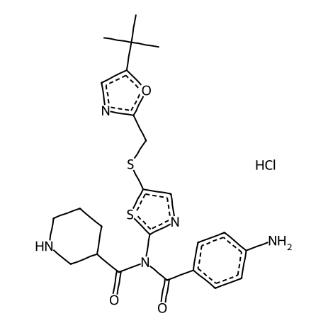 CC(C)(C)c1cnc(CSc2cnc(N(C(=O)c3ccc(N)cc3)C(=O)C3CCCNC3)s2)o1.Cl